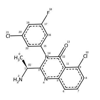 C[C@H](N)c1nc2cccc(Cl)c2c(=O)n1-c1cc(F)cc(Cl)c1